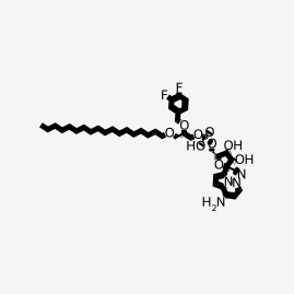 CCCCCCCCCCCCCCCCCCOC[C@H](COP(=O)(O)OC[C@H]1O[C@@](C#N)(c2ccc3c(N)ccnn23)[C@H](O)[C@@H]1O)OCc1ccc(F)c(F)c1